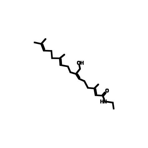 CCNC(=O)/C=C(\C)CC/C=C(\CO)CC/C=C(\C)CCC=C(C)C